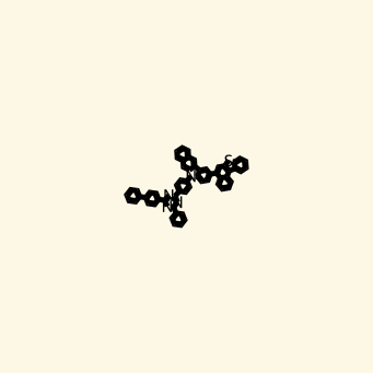 c1ccc(-c2ccc(-c3nc(-c4ccccc4)nc(-c4ccc(-n5c6ccc(-c7cc8sc9ccccc9c8c8ccccc78)cc6c6cc7ccccc7cc65)cc4)n3)cc2)cc1